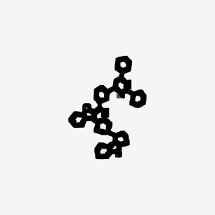 c1ccc(-c2cc(-c3cccc(-c4nc5cc(-c6cccc7sc8ccccc8c67)ccc5c5c4oc4ccccc45)c3)nc(-c3ccccc3)n2)cc1